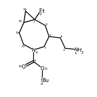 CCC12CC(CCN)CN(C(=O)OC(C)(C)C)CCC1C2